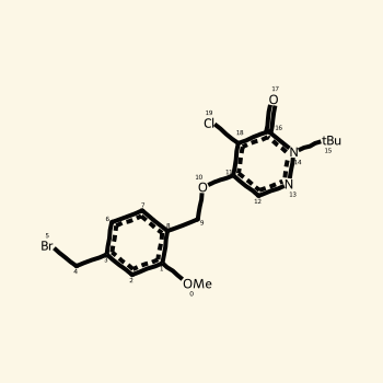 COc1cc(CBr)ccc1COc1cnn(C(C)(C)C)c(=O)c1Cl